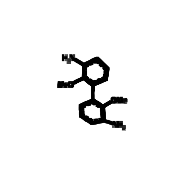 COc1c(N)cccc1-c1cccc(N)c1OC